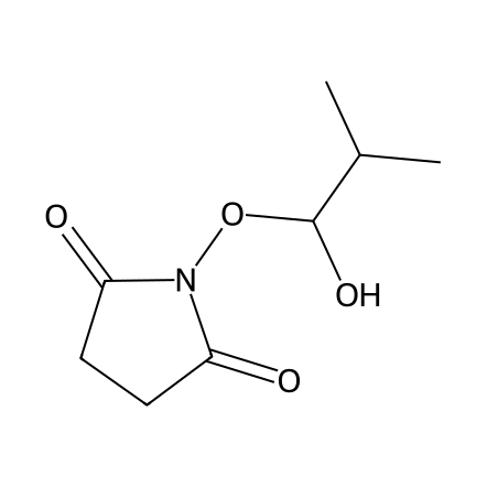 CC(C)C(O)ON1C(=O)CCC1=O